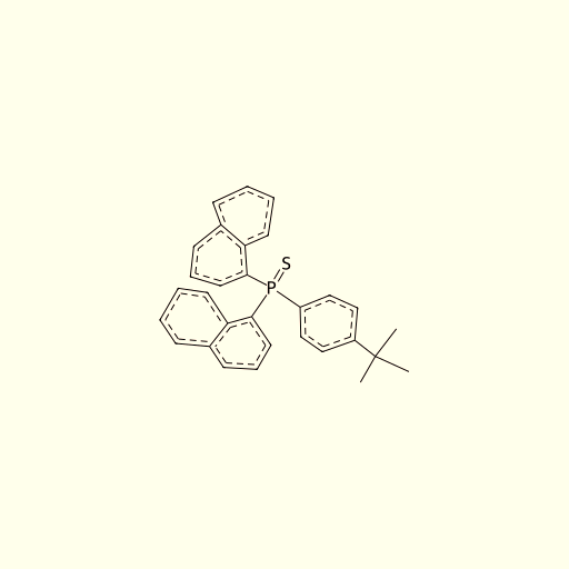 CC(C)(C)c1ccc(P(=S)(c2cccc3ccccc23)c2cccc3ccccc23)cc1